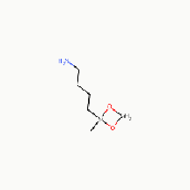 C[Si]1(CCCCN)O[SiH2]O1